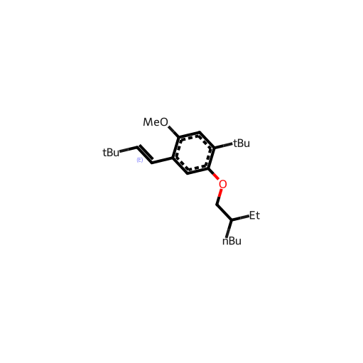 CCCCC(CC)COc1cc(/C=C/C(C)(C)C)c(OC)cc1C(C)(C)C